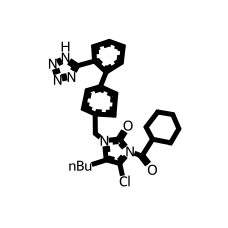 CCCCc1c(Cl)n(C(=O)C2CCCCC2)c(=O)n1Cc1ccc(-c2ccccc2-c2nnn[nH]2)cc1